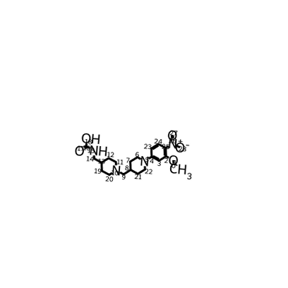 COc1cc(N2CCC(CN3CCC(CNC(=O)O)CC3)CC2)ccc1[N+](=O)[O-]